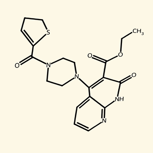 CCOC(=O)c1c(N2CCN(C(=O)C3=CCCS3)CC2)c2cccnc2[nH]c1=O